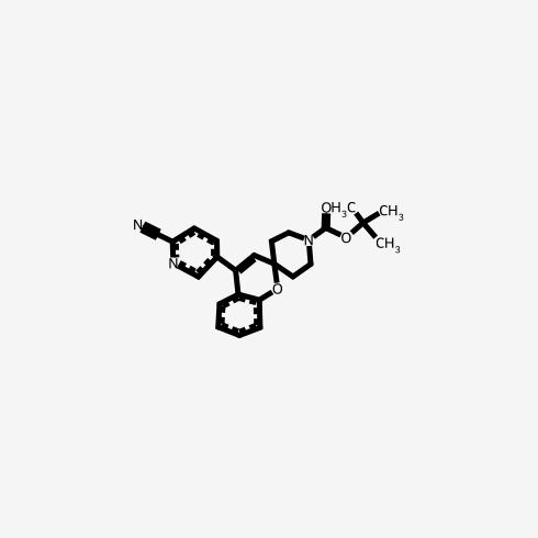 CC(C)(C)OC(=O)N1CCC2(C=C(c3ccc(C#N)nc3)c3ccccc3O2)CC1